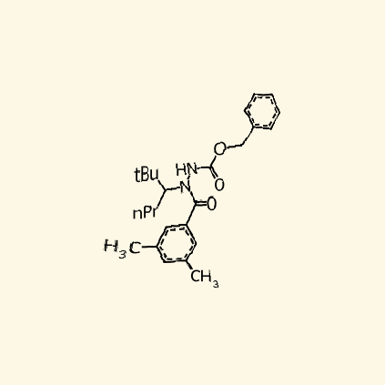 CCCC(N(NC(=O)OCc1ccccc1)C(=O)c1cc(C)cc(C)c1)C(C)(C)C